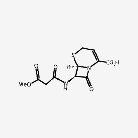 COC(=O)CC(=O)N[C@@H]1C(=O)N2C(C(=O)O)=CCS[C@H]12